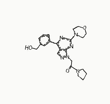 O=C(Cn1ncc2c(-c3cccc(CO)c3)nc(N3CCOCC3)nc21)N1CCCC1